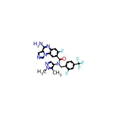 Cc1c(N(Cc2ccc(C(F)(F)F)cc2F)C(=O)c2cc3c(cc2F)nc(N)c2cncn23)cnn1C